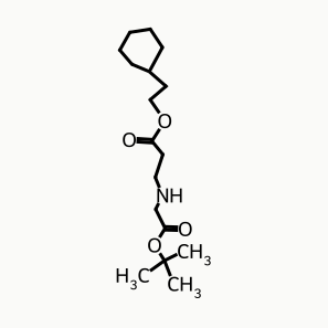 CC(C)(C)OC(=O)CNCCC(=O)OCCC1CCCCC1